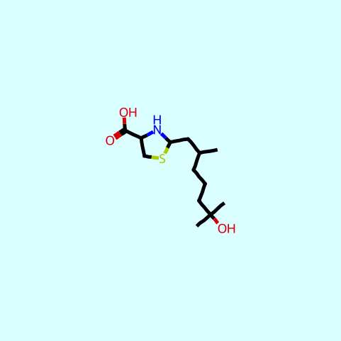 CC(CCCC(C)(C)O)CC1NC(C(=O)O)CS1